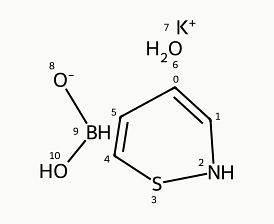 C1=CNSC=C1.O.[K+].[O-]BO